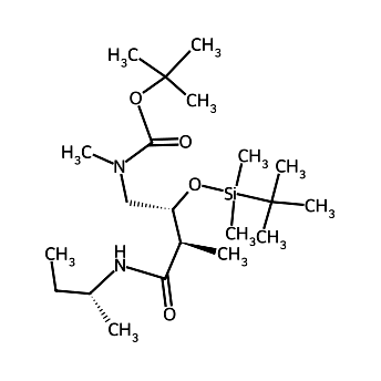 CC[C@@H](C)NC(=O)[C@H](C)[C@H](CN(C)C(=O)OC(C)(C)C)O[Si](C)(C)C(C)(C)C